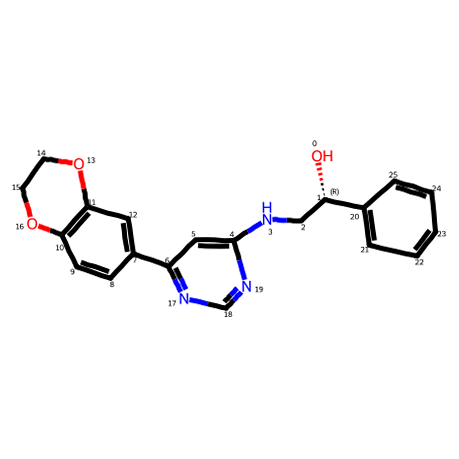 O[C@@H](CNc1cc(-c2ccc3c(c2)OCCO3)ncn1)c1ccccc1